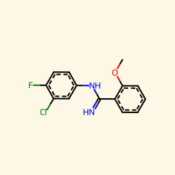 COc1ccccc1C(=N)Nc1ccc(F)c(Cl)c1